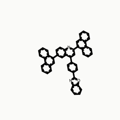 c1ccc2c(c1)cc(-c1ccc3nc(-c4cc5ccccc5c5ccccc45)cc(-c4ccc(-c5nc6ccccc6o5)cc4)c3c1)c1ccccc12